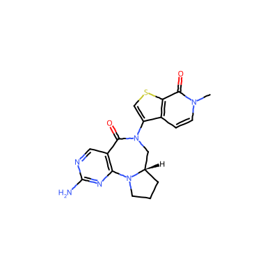 Cn1ccc2c(N3C[C@@H]4CCCN4c4nc(N)ncc4C3=O)csc2c1=O